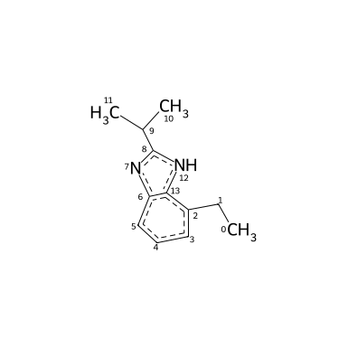 CCc1cccc2nc(C(C)C)[nH]c12